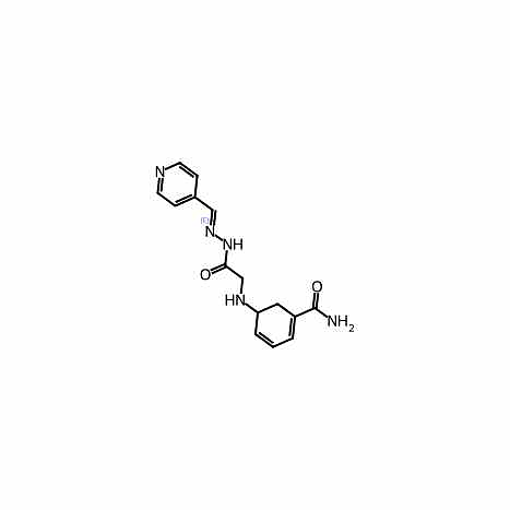 NC(=O)C1=CC=CC(NCC(=O)N/N=C/c2ccncc2)C1